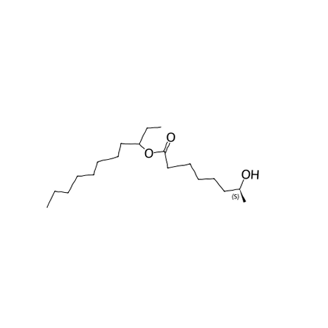 CCCCCCCCC(CC)OC(=O)CCCCC[C@H](C)O